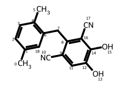 Cc1ccc(C)c(Cc2c(C#N)cc(O)c(O)c2C#N)c1